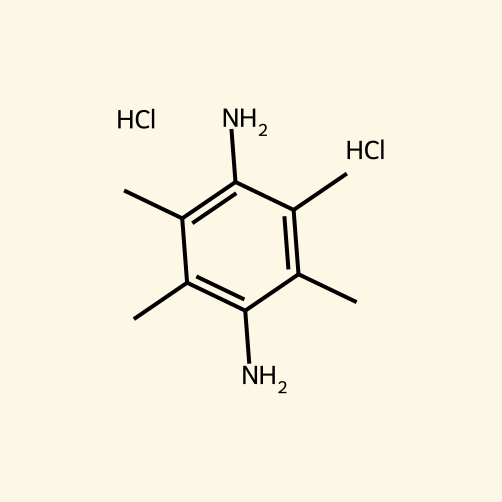 Cc1c(C)c(N)c(C)c(C)c1N.Cl.Cl